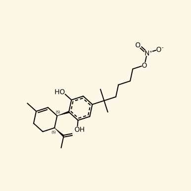 C=C(C)[C@H]1CCC(C)=C[C@H]1c1c(O)cc(C(C)(C)CCCCO[N+](=O)[O-])cc1O